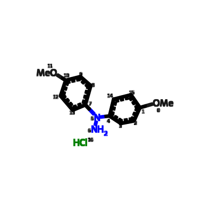 COc1ccc(N(N)c2ccc(OC)cc2)cc1.Cl